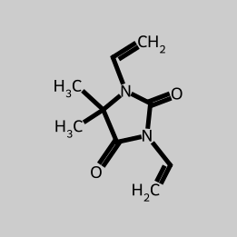 C=CN1C(=O)N(C=C)C(C)(C)C1=O